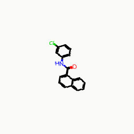 O=C(Nc1cccc(Cl)c1)c1cccc2ccccc12